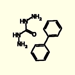 NNC(=O)NN.c1ccc(-c2ccccc2)cc1